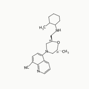 CC1CCCCC1NC[C@@H]1CN(c2ccc(C#N)c3ncccc23)C[C@@H](C)O1